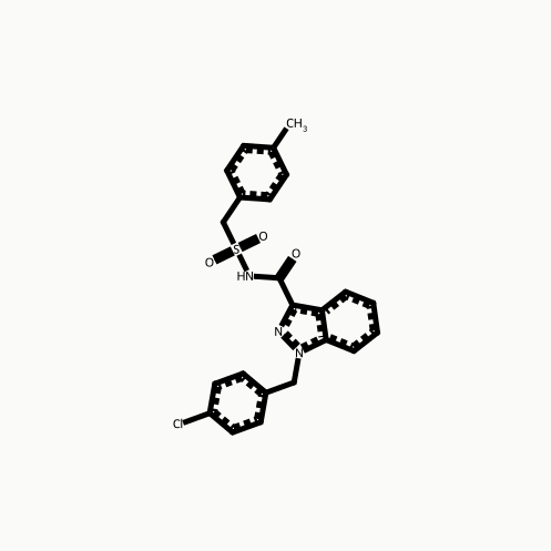 Cc1ccc(CS(=O)(=O)NC(=O)c2nn(Cc3ccc(Cl)cc3)c3ccccc23)cc1